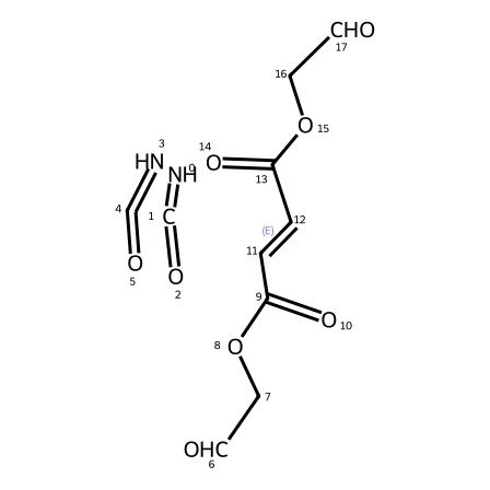 N=C=O.N=C=O.O=CCOC(=O)/C=C/C(=O)OCC=O